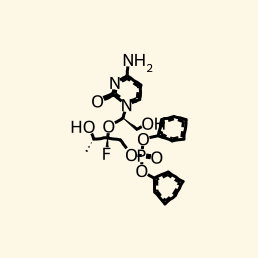 C[C@H](O)[C@@](F)(COP(=O)(Oc1ccccc1)Oc1ccccc1)O[C@H](CO)n1ccc(N)nc1=O